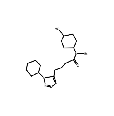 CCN(C(=O)CCCc1nnnn1C1CCCCC1)C1CCC(O)CC1